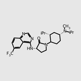 CC(C)[C@@H]1C[C@H](N(C)C(C)C)CCC1N1CC[C@H](Nc2ncnc3ccc(C(F)(F)F)cc23)C1=O